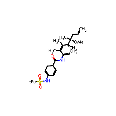 C=CC[C@](C)(OC)C(=C)/C(C)=C(C)\C(=C/C)NC(=O)C1C=CC(NS(=O)(=O)C(C)(C)C)=CC1